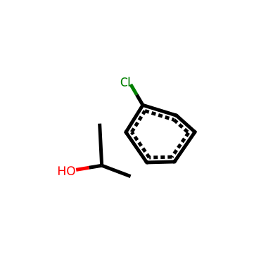 CC(C)O.Clc1ccccc1